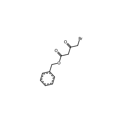 O=C(CBr)CC(=O)OCc1ccccc1